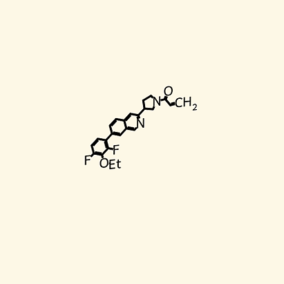 C=CC(=O)N1CCC(c2cc3ccc(-c4ccc(F)c(OCC)c4F)cc3cn2)C1